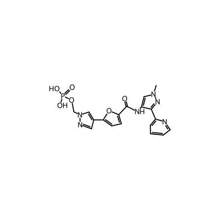 Cn1cc(NC(=O)c2ccc(-c3cnn(COP(=O)(O)O)c3)o2)c(-c2ccccn2)n1